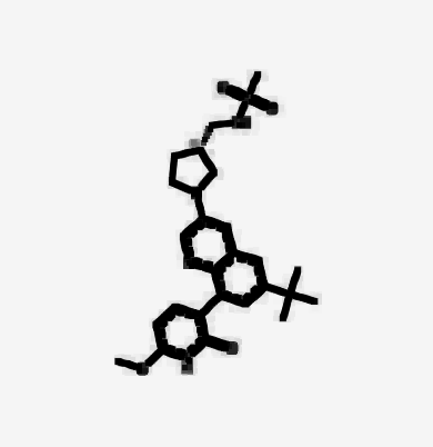 COc1ccc(-c2cc(C(C)(C)C)cc3cc(N4CC[C@H](CNS(C)(=O)=O)C4)cnc23)c(=O)[nH]1